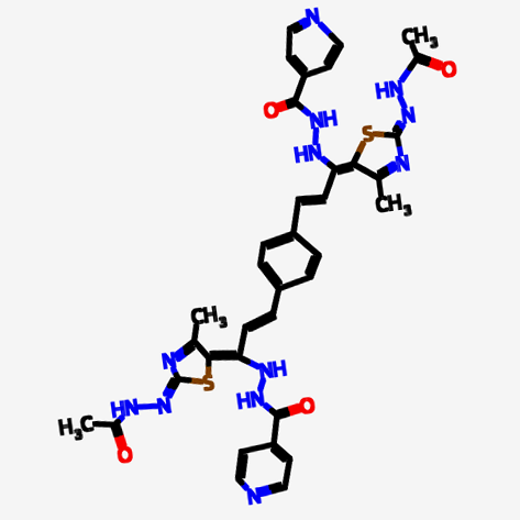 CC(=O)NN=C1N=C(C)/C(=C(\C=C\c2ccc(C=C/C(NNC(=O)c3ccncc3)=C3/S/C(=N\NC(C)=O)N=C3C)cc2)NNC(=O)c2ccncc2)S1